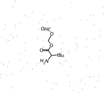 CC(C)(C)C(N)C(=O)OCOC=O